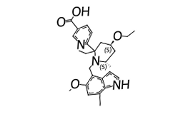 CCO[C@H]1C[C@H](C)N(Cc2c(OC)cc(C)c3[nH]ccc23)C(CC)(c2ccc(C(=O)O)cn2)C1